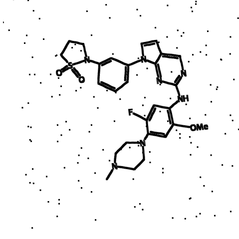 COc1cc(N2CCN(C)CC2)c(F)cc1Nc1ncc2ccn(-c3cccc(N4CCCS4(=O)=O)c3)c2n1